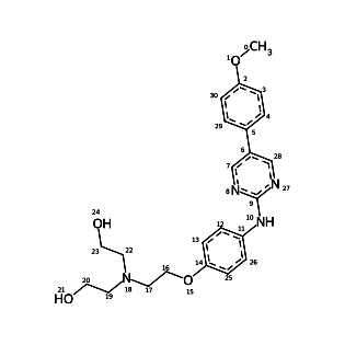 COc1ccc(-c2cnc(Nc3ccc(OCCN(CCO)CCO)cc3)nc2)cc1